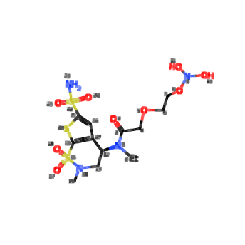 CCN(C(=O)COCCON(O)O)[C@H]1CN(C)S(=O)(=O)c2sc(S(N)(=O)=O)cc21